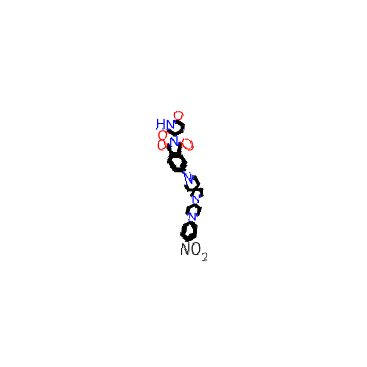 O=C1CCC(N2C(=O)c3ccc(N4CCC5(CC4)CCN(C4CCN(c6ccc([N+](=O)[O-])cc6)CC4)C5)cc3C2=O)C(=O)N1